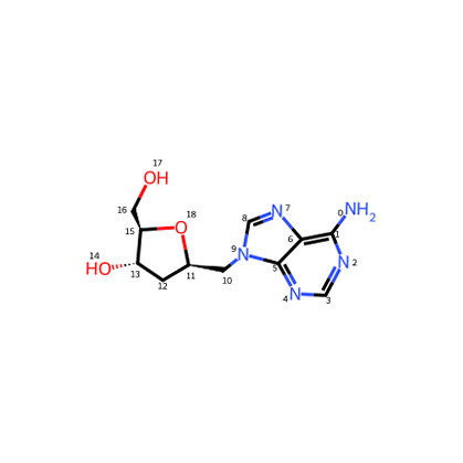 Nc1ncnc2c1ncn2C[C@H]1C[C@H](O)[C@@H](CO)O1